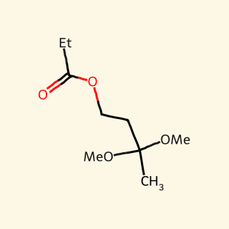 CCC(=O)OCCC(C)(OC)OC